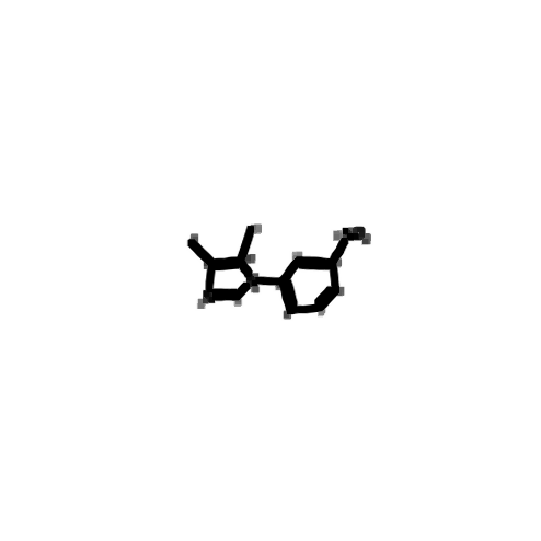 Cc1ncn(-c2cccc([N+](=O)[O-])c2)c1C